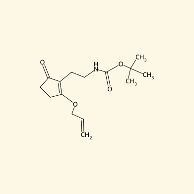 C=CCOC1=C(CCNC(=O)OC(C)(C)C)C(=O)CC1